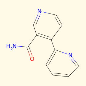 NC(=O)c1cnccc1-c1ccccn1